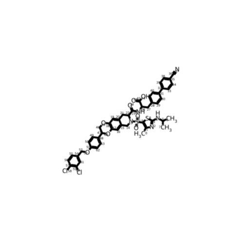 Cc1nc(NC(C)C)sc1S(=O)(=O)N1Cc2cc3c(cc2CC1C(=O)NC(Cc1ccc(-c2ccc(C#N)cc2)cc1)C(=O)O)OCC(c1ccc(OCc2ccc(Cl)c(Cl)c2)cc1)O3